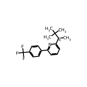 C[C@@H](c1cccc(-c2ccc(C(F)(F)F)cc2)n1)C(C)(C)C